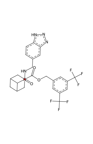 O=C(NCc1ccc2[nH]nnc2c1)C1C2CC1CN(C(=O)OCc1cc(C(F)(F)F)cc(C(F)(F)F)c1)C2